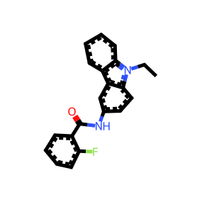 CCn1c2ccccc2c2cc(NC(=O)c3ccccc3F)ccc21